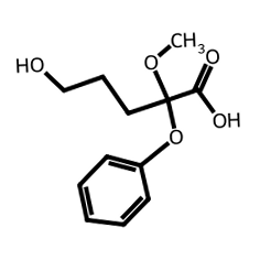 COC(CCCO)(Oc1ccccc1)C(=O)O